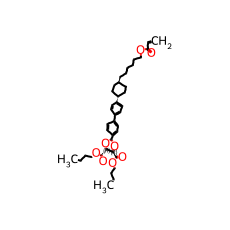 C=CC(=O)OCCCCCC[C@H]1CC[C@H](c2ccc(-c3ccc(C4O[C@@H](C(=O)OCCCC)[C@H](C(=O)OCCCC)O4)cc3)cc2)CC1